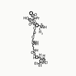 CCC(CC)C1CC(N[C@H]2CCC(NCC(=O)NCCCC3CN(CCOCCOCCOc4cc(C5SCNC5C)ccc4CNC(=O)[C@@H]4C[C@@H](O)CN4C(=O)[C@H](C(C)C)N4Cc5ccccc5C4=O)NN3)C2)N2NCC(Cl)C2N1